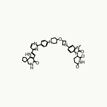 Cn1c(=O)n(C2CCC(=O)NC2=O)c2ccc(N3CC(OC4CCN(c5ccc(-c6nccc(-c7cc8c([nH]7)C7(CCCC7)CNC8=O)n6)cc5)CC4)C3)cc21